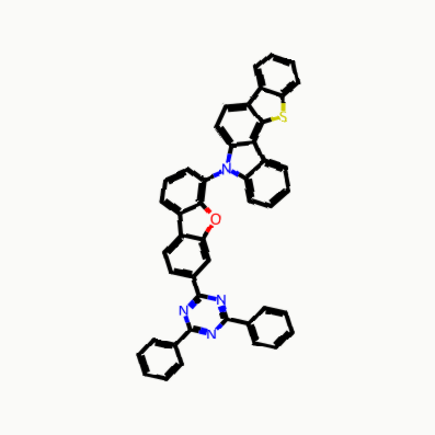 c1ccc(-c2nc(-c3ccccc3)nc(-c3ccc4c(c3)oc3c(-n5c6ccccc6c6c7sc8ccccc8c7ccc65)cccc34)n2)cc1